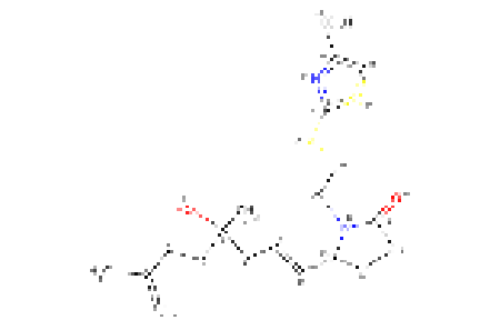 C=C(C)CCC(C)(O)CC=C[C@H]1CCC(=O)N1CCSc1nc(C(=O)O)cs1